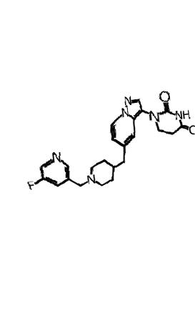 O=C1CCN(c2cnn3ccc(CC4CCN(Cc5cncc(F)c5)CC4)cc23)C(=O)N1